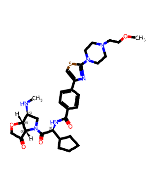 CN[C@H]1CN(C(=O)[C@@H](NC(=O)c2ccc(-c3csc(N4CCN(CCOC)CC4)n3)cc2)C2CCCC2)[C@@H]2C(=O)CO[C@H]12